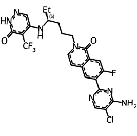 CC[C@@H](CCCn1ccc2cc(-c3ncc(Cl)c(N)n3)c(F)cc2c1=O)Nc1cn[nH]c(=O)c1C(F)(F)F